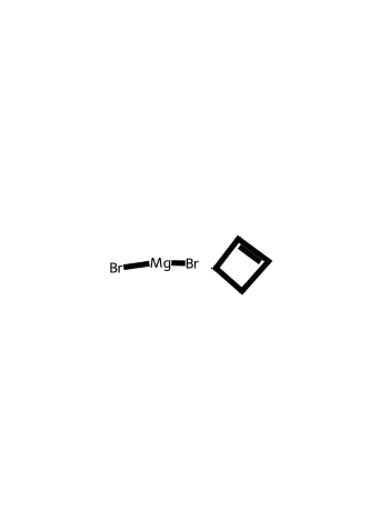 [Br][Mg][Br].[CH]1C=CC1